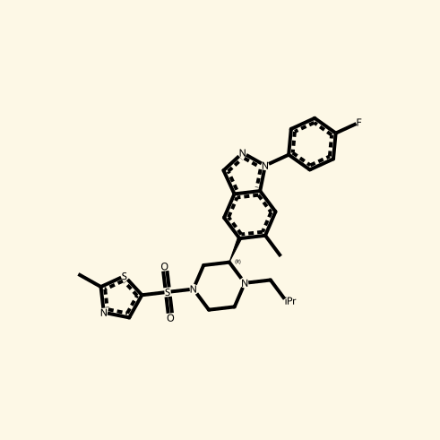 Cc1ncc(S(=O)(=O)N2CCN(CC(C)C)[C@H](c3cc4cnn(-c5ccc(F)cc5)c4cc3C)C2)s1